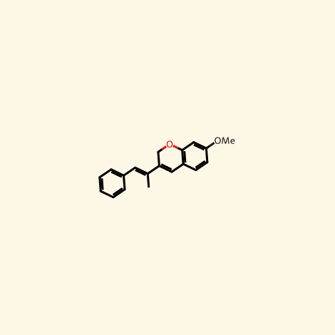 COc1ccc2c(c1)OCC(/C(C)=C/c1ccccc1)=C2